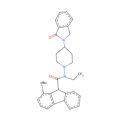 CCCCc1cccc2c1C(C(=O)N(CC(F)(F)F)N1CCC(N3Cc4ccccc4C3=O)CC1)c1ccccc1-2